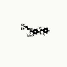 CCN(CC)CCNC(=O)c1ccc(N(C)C(=O)c2ccccc2)cc1OC